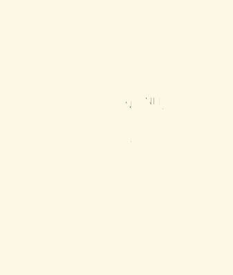 C=CS/C(=N\N)C(C)(C)C